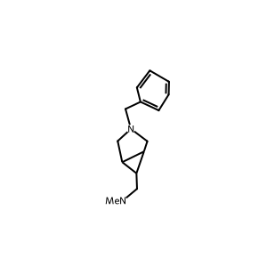 CNCC1C2CN(Cc3ccccc3)CC12